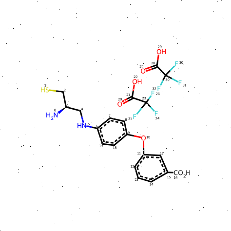 N[C@@H](CS)CNc1ccc(Oc2cccc(C(=O)O)c2)cc1.O=C(O)C(F)(F)F.O=C(O)C(F)(F)F